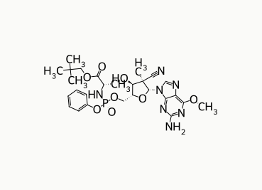 COc1nc(N)nc2c1ncn2[C@@H]1O[C@H](COP(=O)(N[C@@H](C)C(=O)OCC(C)(C)C)Oc2ccccc2)[C@@H](O)[C@@]1(C)C#N